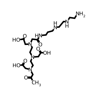 CC(=O)CN(CCN(CCN(CC(=O)O)CC(=O)NCCCNCCNCCN)CC(=O)O)CC(=O)O